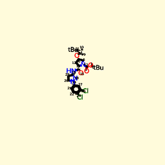 CC(C)(C)OC(=O)N1C[C@@H](O[Si](C)(C)C(C)(C)C)C[C@H]1C(=O)NC1=NN(c2ccc(Cl)c(Cl)c2)CC1